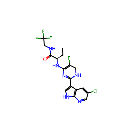 CC[C@@H](NC1=C(F)CNC(c2c[nH]c3ncc(Cl)cc23)=N1)C(=O)NCC(F)(F)F